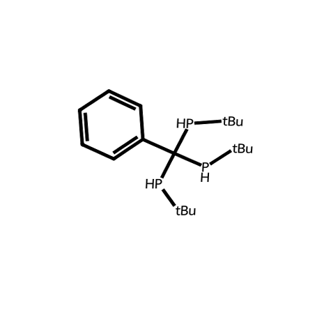 CC(C)(C)PC(PC(C)(C)C)(PC(C)(C)C)c1ccccc1